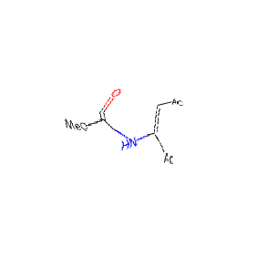 COC(=O)NC(=CC(C)=O)C(C)=O